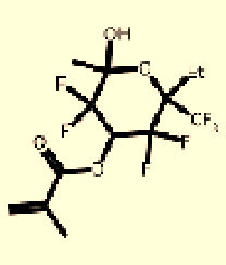 C=C(C)C(=O)OC1C(F)(F)C(C)(O)OC(CC)(C(F)(F)F)C1(F)F